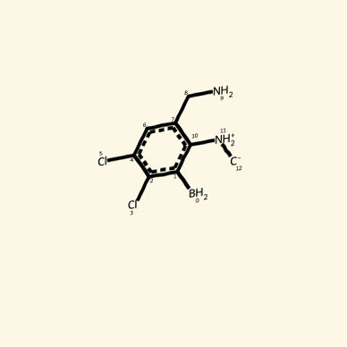 Bc1c(Cl)c(Cl)cc(CN)c1[NH2+][CH2-]